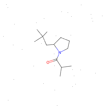 CC(C)C(=O)N1CCCC1CC(C)(C)C